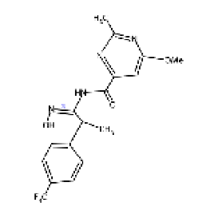 COc1cc(C(=O)N/C(=N/O)C(C)c2ccc(C(F)(F)F)cc2)nc(C)n1